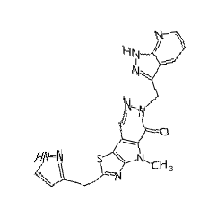 Cn1c2nc(Cc3cc[nH]n3)sc2c2cnn(Cc3n[nH]c4ncccc34)c(=O)c21